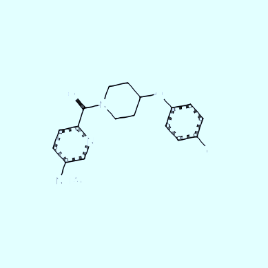 CC(=O)Nc1ccc(C(=O)N2CCC(Oc3ccc(Cl)cc3)CC2)nc1